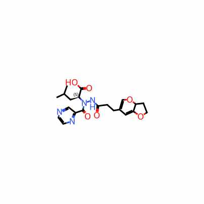 CC(C)C[C@@H](C(=O)O)N(NC(=O)CCC1=COC2CCOC2=C1)C(=O)c1cnccn1